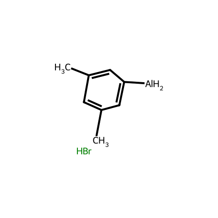 Br.Cc1cc(C)c[c]([AlH2])c1